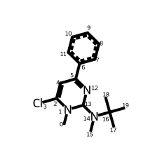 CN1C(Cl)=CC(c2ccccc2)=NC1N(C)C(C)(C)C